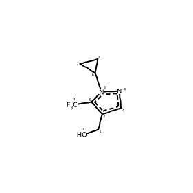 OCc1cnn(C2CC2)c1C(F)(F)F